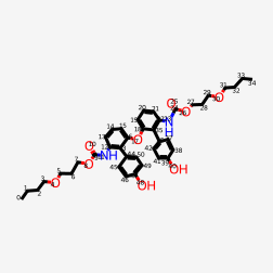 CCCCOCCCOC(=O)Nc1cccc(Oc2cccc(NC(=O)OCCCOCCCC)c2-c2ccc(O)cc2)c1-c1ccc(O)cc1